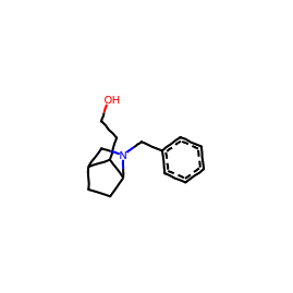 OCCC1C2CCC1N(Cc1ccccc1)C2